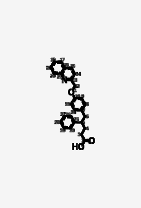 O=C(O)CCC(Cc1ccc(OCc2ccc3ccccc3n2)cc1)c1ccccc1